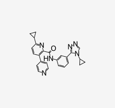 O=C(Nc1cccc(-c2nncn2C2CC2)c1)c1nc(C2CC2)ccc1-c1ccncc1